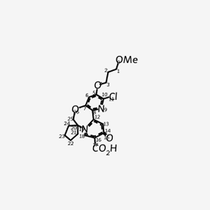 COCCCOc1cc2c(nc1Cl)-c1cc(=O)c(C(=O)O)cn1C1(CCCC1)CO2